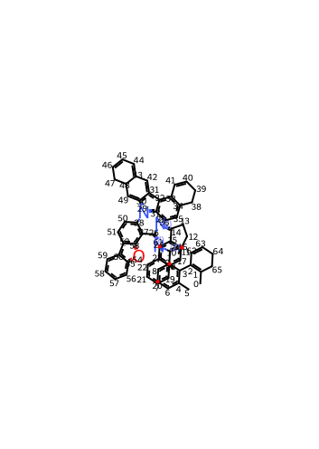 CC1=C(c2c(C)cccc2C2=C/CC/C(c3ccc4ccccc4c3)=N/C(c3c(-n4c5c(c6c7c(ccc64)CCC=C7)=CC4=CC=CCC4C=5)ccc4c3oc3ccccc34)=N\2)C=CCC1